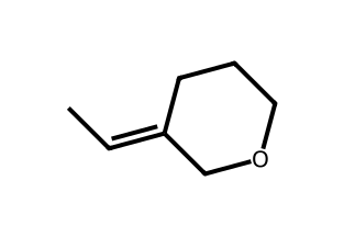 CC=C1CCCOC1